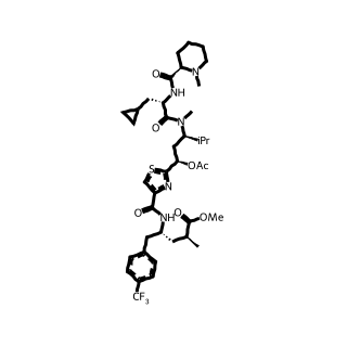 COC(=O)[C@@H](C)C[C@H](Cc1ccc(C(F)(F)F)cc1)NC(=O)c1csc([C@@H](C[C@H](C(C)C)N(C)C(=O)[C@H](CC2CC2)NC(=O)[C@H]2CCCCN2C)OC(C)=O)n1